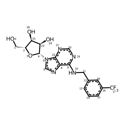 OC[C@H]1O[C@@H](n2cnc3c(NCc4cccc(C(F)(F)F)c4)ncnc32)[C@H](O)[C@@H]1O